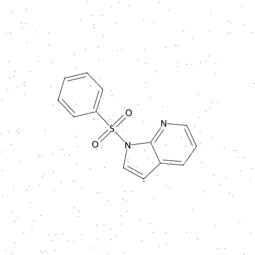 O=S(=O)(c1ccccc1)n1c[c]c2cccnc21